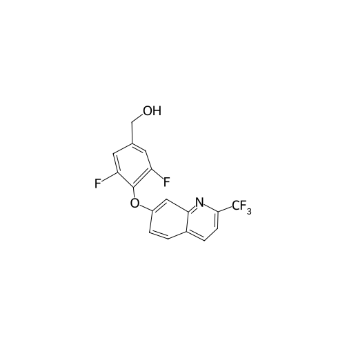 OCc1cc(F)c(Oc2ccc3ccc(C(F)(F)F)nc3c2)c(F)c1